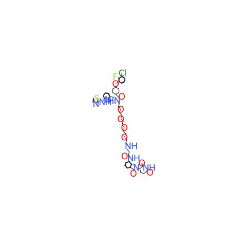 O=C1CCC(N2Cc3c(NC(=O)CCNCCOCCOCCOCCOCCNC(=O)[C@]4(Cc5cccc(Nc6nccs6)n5)CC[C@@H](Oc5cccc(Cl)c5F)CC4)cccc3C2=O)C(=O)N1